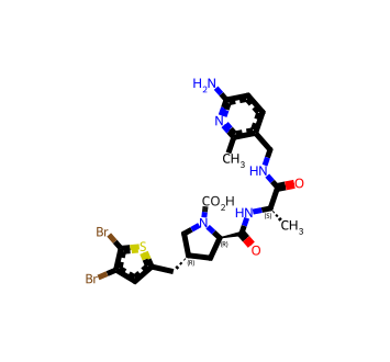 Cc1nc(N)ccc1CNC(=O)[C@H](C)NC(=O)[C@H]1C[C@H](Cc2cc(Br)c(Br)s2)CN1C(=O)O